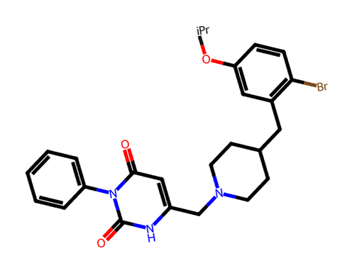 CC(C)Oc1ccc(Br)c(CC2CCN(Cc3cc(=O)n(-c4ccccc4)c(=O)[nH]3)CC2)c1